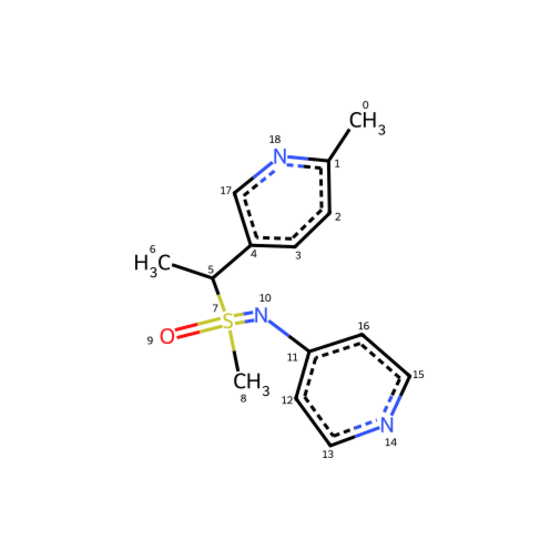 Cc1ccc(C(C)S(C)(=O)=Nc2ccncc2)cn1